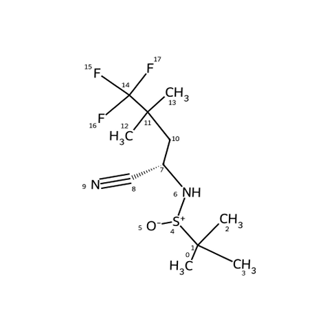 CC(C)(C)[S+]([O-])N[C@H](C#N)CC(C)(C)C(F)(F)F